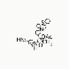 CC(=O)OCc1c(-c2cc(Nc3ccc(C4CNC4)cn3)c(=O)n(C)c2)cccc1N1CCc2c(sc3c2CCCC3)C1=O